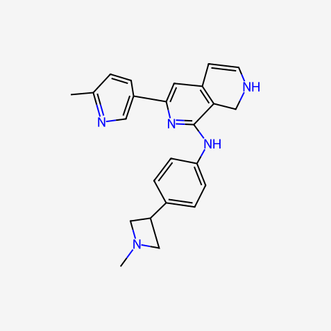 Cc1ccc(-c2cc3c(c(Nc4ccc(C5CN(C)C5)cc4)n2)CNC=C3)cn1